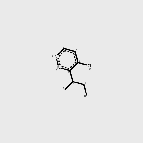 [CH2]CC(C)c1nnccc1Cl